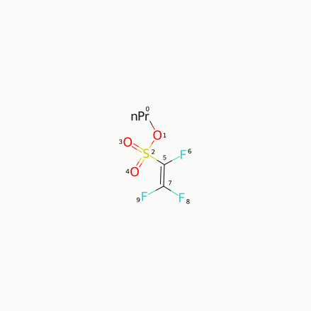 CCCOS(=O)(=O)C(F)=C(F)F